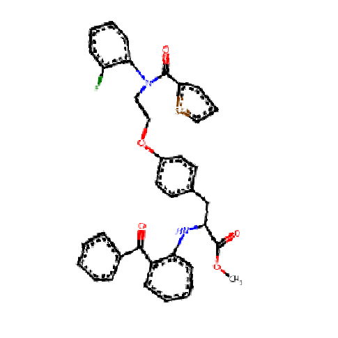 COC(=O)C(Cc1ccc(OCCN(C(=O)c2cccs2)c2ccccc2F)cc1)Nc1ccccc1C(=O)c1ccccc1